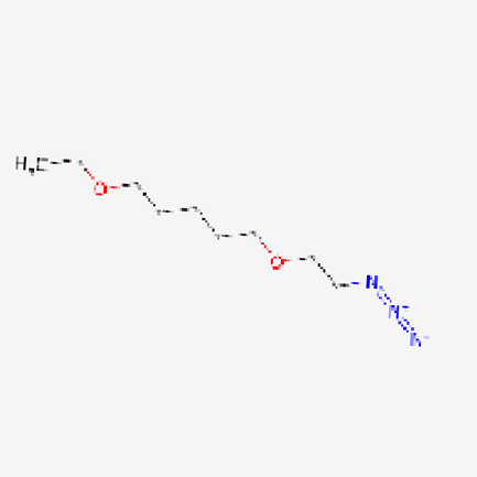 CCOCCCCCOCCN=[N+]=[N-]